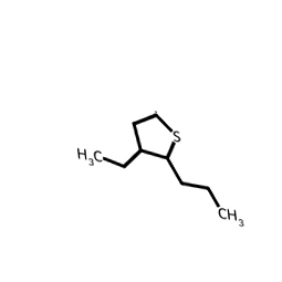 CCCC1S[CH]CC1CC